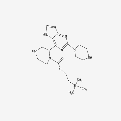 C[Si](C)(C)CCOC(=O)N1CCNCC1c1nc(N2CCNCC2)nc2nc[nH]c12